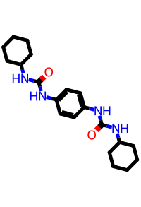 O=C(Nc1ccc(NC(=O)NC2CCCCC2)cc1)NC1CCCCC1